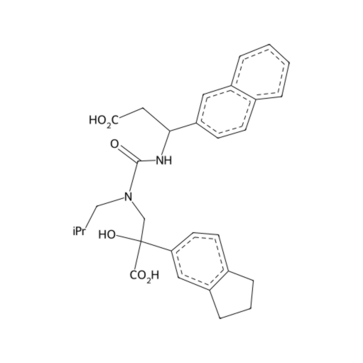 CC(C)CN(CC(O)(C(=O)O)c1ccc2c(c1)CCC2)C(=O)NC(CC(=O)O)c1ccc2ccccc2c1